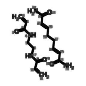 C=CC(=O)NCCNC(=O)C=C.NC(=O)C=CCCC=CC(N)=O